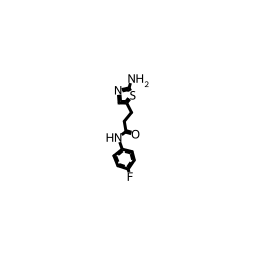 Nc1ncc(CCC(=O)Nc2ccc(F)cc2)s1